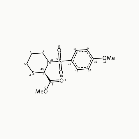 COC(=O)[C@H]1SCCCN1S(=O)(=O)c1ccc(OC)cc1